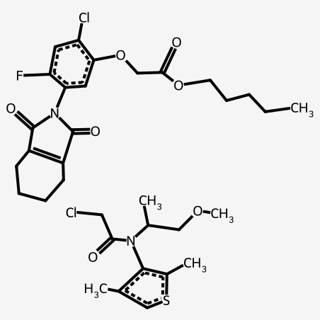 CCCCCOC(=O)COc1cc(N2C(=O)C3=C(CCCC3)C2=O)c(F)cc1Cl.COCC(C)N(C(=O)CCl)c1c(C)csc1C